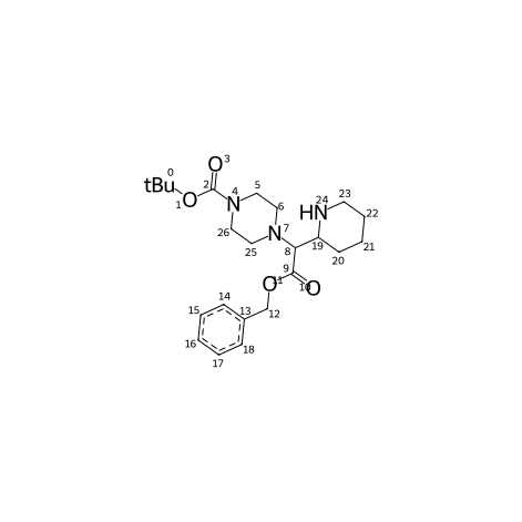 CC(C)(C)OC(=O)N1CCN(C(C(=O)OCc2ccccc2)C2CCCCN2)CC1